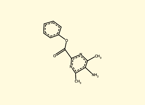 Cc1nc(C(=O)Oc2ccccc2)nc(C)c1N